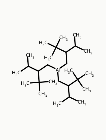 CC(C)C([CH2][Al]([CH2]C(C(C)C)C(C)(C)C)[CH2]C(C(C)C)C(C)(C)C)C(C)(C)C